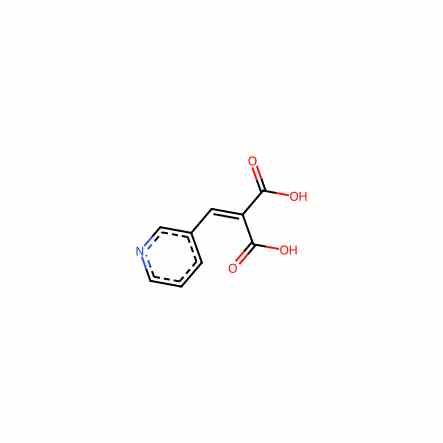 O=C(O)C(=Cc1cccnc1)C(=O)O